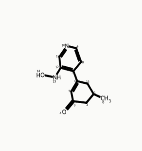 CC1CC(=O)C=C(c2ccncc2NO)C1